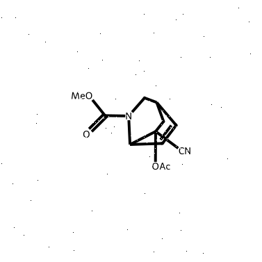 COC(=O)N1CC2C=CC1C(C#N)(OC(C)=O)C2